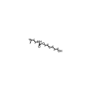 CN(C)CCNC(=O)OCCSSCCO